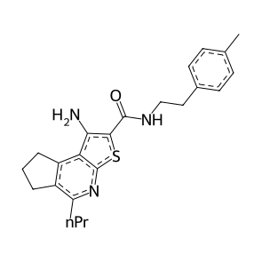 CCCc1nc2sc(C(=O)NCCc3ccc(C)cc3)c(N)c2c2c1CCC2